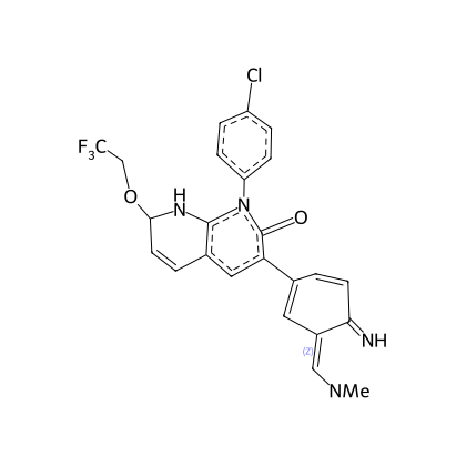 CN/C=C1/C=C(c2cc3c(n(-c4ccc(Cl)cc4)c2=O)NC(OCC(F)(F)F)C=C3)C=CC1=N